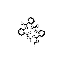 CCOC(=O)c1ccccc1OC(=O)Oc1ccccc1C(=O)Oc1ccccc1C(=O)OCC